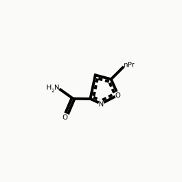 C[CH]Cc1cc(C(N)=O)no1